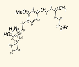 COc1cc(OCCC(C)CCCC(C)C)ccc1CC[C@@](N)(CO)CC1CCC1